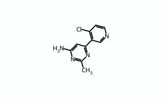 Cc1nc(N)cc(-c2cnccc2Cl)n1